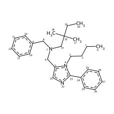 CCCCn1c(CN(Cc2ccccc2)CC(C)(C)CC)cnc1-c1ccccc1